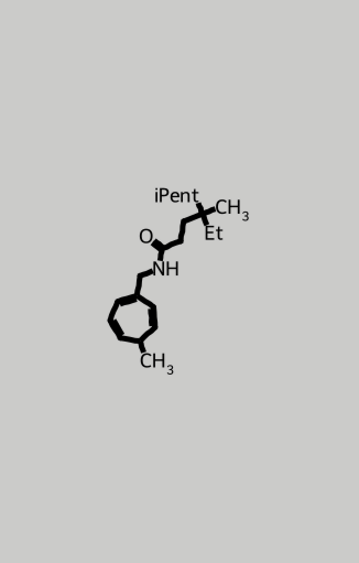 CCCC(C)C(C)(CC)CCC(=O)NCC1=CC=CC(C)C=C1